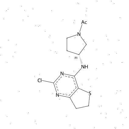 CC(=O)N1CC[C@@H](Nc2nc(Cl)nc3c2SCC3)C1